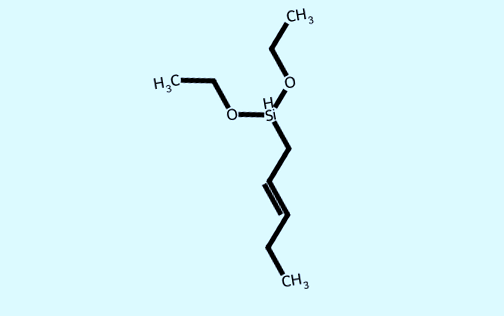 CCC=CC[SiH](OCC)OCC